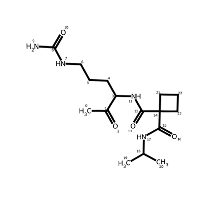 CC(=O)C(CCCNC(N)=O)NC(=O)C1(C(=O)NC(C)C)CCC1